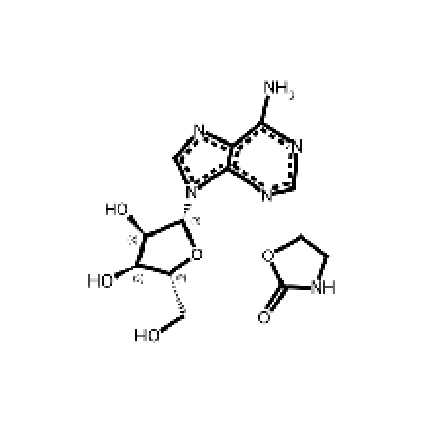 Nc1ncnc2c1ncn2[C@@H]1O[C@H](CO)[C@@H](O)[C@H]1O.O=C1NCCO1